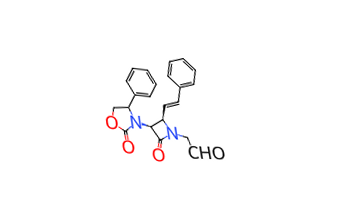 O=CCN1C(=O)[C@@H](N2C(=O)OCC2c2ccccc2)[C@H]1/C=C/c1ccccc1